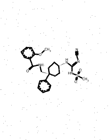 COc1ccccc1C(=O)NC[C@]1(c2ccccc2)CC[C@H](N/C(=N\C#N)NS(C)(=O)=O)CC1